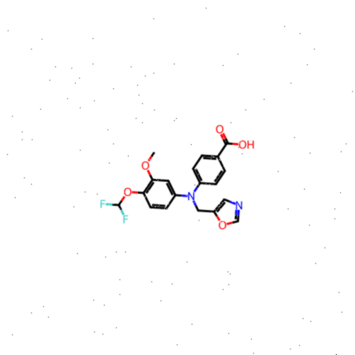 COc1cc(N(Cc2cnco2)c2ccc(C(=O)O)cc2)ccc1OC(F)F